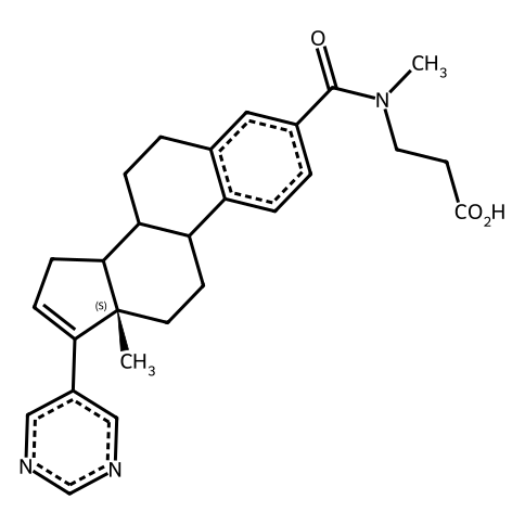 CN(CCC(=O)O)C(=O)c1ccc2c(c1)CCC1C2CC[C@]2(C)C(c3cncnc3)=CCC12